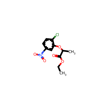 CCOC(=O)C(C)Oc1cc([N+](=O)[O-])ccc1Cl